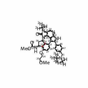 [2H]C([2H])([2H])N(Cc1ccc(-c2[nH]c3ncc4c(c3c2-c2ccc(OCCOC)cc2)n([C@@H]2CC[C@@H](NC(=O)OC)C2)c(=O)n4C([2H])([2H])[2H])cc1)C([2H])([2H])[2H]